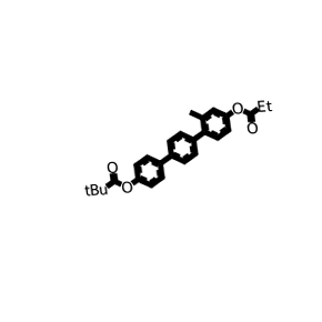 CCC(=O)Oc1ccc(-c2ccc(-c3ccc(OC(=O)C(C)(C)C)cc3)cc2)c(C)c1